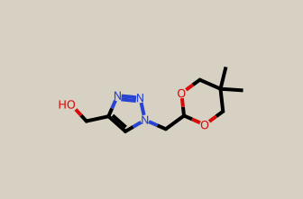 CC1(C)COC(Cn2cc(CO)nn2)OC1